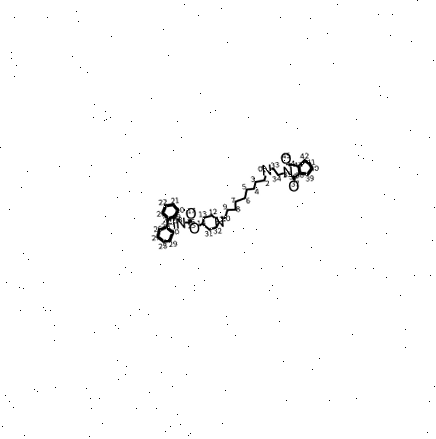 CN(CCCCCCCCCN1CCC(OC(=O)Nc2ccccc2-c2ccccc2)CC1)CCN1C(=O)c2ccccc2C1=O